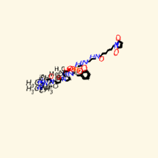 CC[C@H](C)[C@@H]([C@@H](CC(=O)N1CCC[C@H]1[C@H](OC)[C@@H](C)C(=O)N[C@@H](Cc1ccccc1)P(=O)(O)CC(=O)NCCCNC(=O)CCCCCN1C(=O)C=CC1=O)OC)N(C)C(=O)[C@@H](N=C(N(C)C)N(C)C)C(C)C